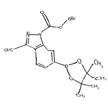 CC(C)(C)OC(=O)n1nc(C=O)c2ccc(B3OC(C)(C)C(C)(C)O3)cc21